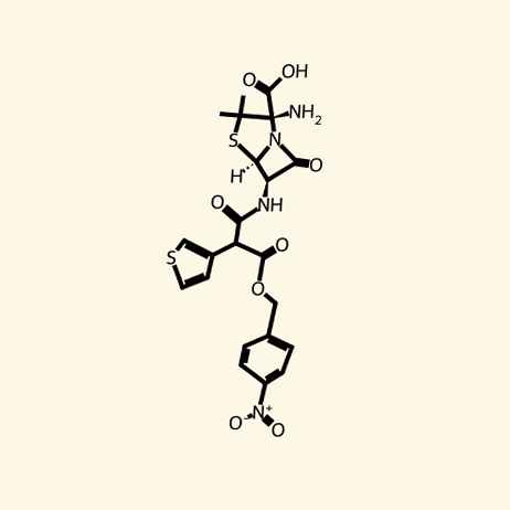 CC1(C)S[C@@H]2[C@H](NC(=O)C(C(=O)OCc3ccc([N+](=O)[O-])cc3)c3ccsc3)C(=O)N2[C@@]1(N)C(=O)O